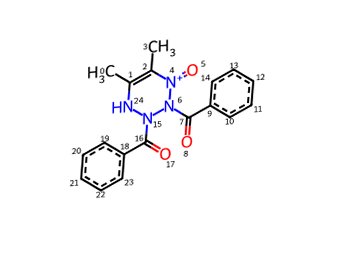 CC1=C(C)[N+](=O)N(C(=O)c2ccccc2)N(C(=O)c2ccccc2)N1